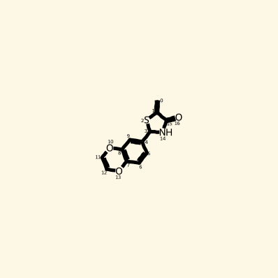 C=C1SC(c2ccc3c(c2)OC=CO3)NC1=O